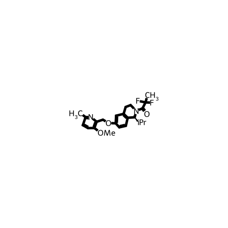 COc1ccc(C)nc1COc1ccc2c(c1)CCN(C(=O)C(C)(F)F)[C@H]2C(C)C